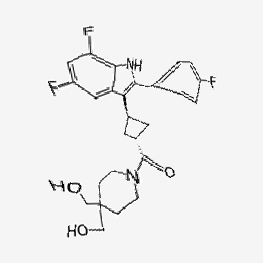 O=C([C@H]1C[C@H](c2c(-c3ccc(F)cc3)[nH]c3c(F)cc(F)cc32)C1)N1CCC(CO)(CO)CC1